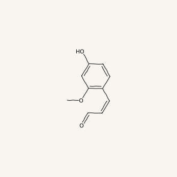 COc1cc(O)ccc1/C=C\C=O